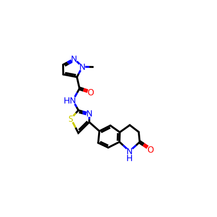 Cn1nccc1C(=O)Nc1nc(-c2ccc3c(c2)CCC(=O)N3)cs1